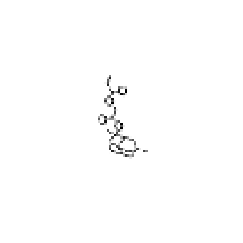 C=CC(=O)OCC(=O)OC1(C)C2CC3CC1CC(C)(C3)C2